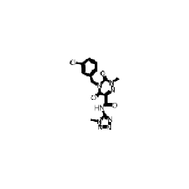 Cn1nnnc1NC(=O)c1nn(C)c(=O)n(Cc2cccc(Cl)c2)c1=O